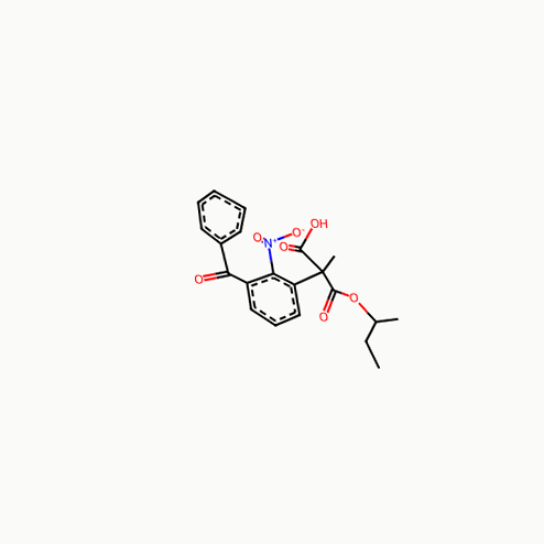 CCC(C)OC(=O)C(C)(C(=O)O)c1cccc(C(=O)c2ccccc2)c1[N+](=O)[O-]